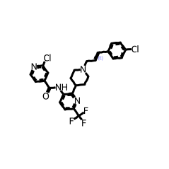 O=C(Nc1ccc(C(F)(F)F)nc1C1CCN(C/C=C/c2ccc(Cl)cc2)CC1)c1ccnc(Cl)c1